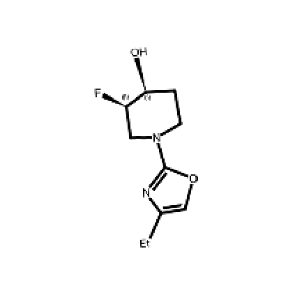 CCc1coc(N2CC[C@H](O)[C@H](F)C2)n1